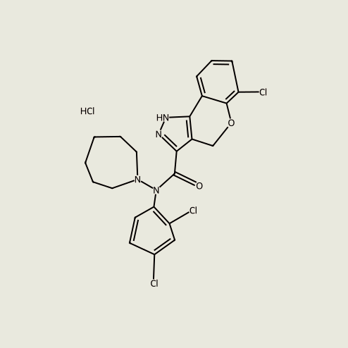 Cl.O=C(c1n[nH]c2c1COc1c(Cl)cccc1-2)N(c1ccc(Cl)cc1Cl)N1CCCCCC1